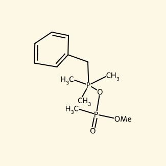 COP(C)(=O)OP(C)(C)(C)Cc1ccccc1